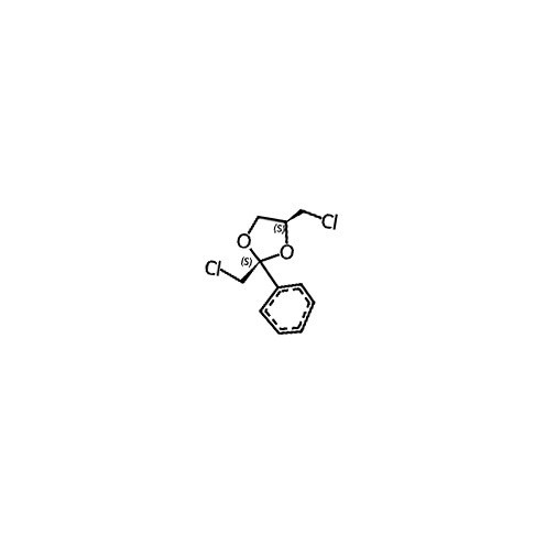 ClC[C@@H]1CO[C@@](CCl)(c2ccccc2)O1